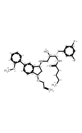 C=CCO[C@@H]1C[C@H](NC[C@@H](O)[C@H](Cc2cc(F)cc(F)c2)NC(=O)CCCC)c2cc(-c3ccccc3OC)ccc21